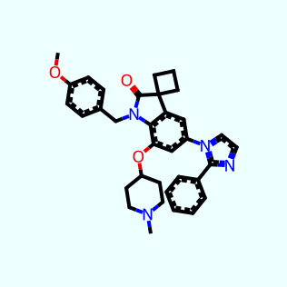 COc1ccc(CN2C(=O)C3(CCC3)c3cc(-n4ccnc4-c4ccccc4)cc(OC4CCN(C)CC4)c32)cc1